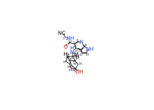 N#CCNC(=O)c1cnc2[nH]ccc2c1N[C@H]1[C@@H]2CC3C[C@H]1C[C@@](O)(C3)C2